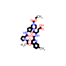 CCOC(=O)N1CCN(C(=O)C(CCC(=O)O)NC(=O)c2cc(O[C@H](C)C(=O)N3CCCC3C(=O)NC3CCCC3)c3ccc(C)cc3n2)CC1